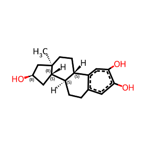 C[C@]12CC[C@@H]3c4cc(O)c(O)cc4CC[C@H]3[C@@H]1C[C@@H](O)C2